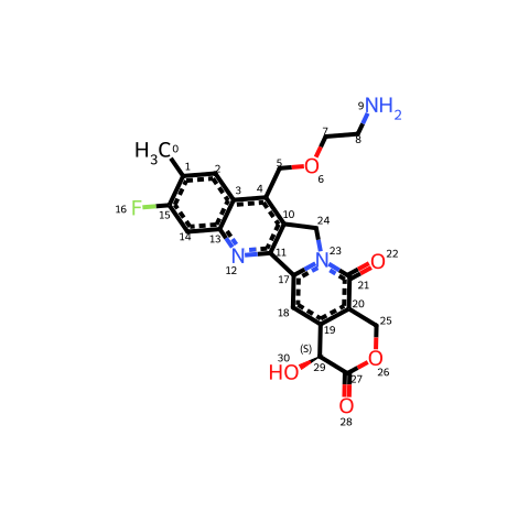 Cc1cc2c(COCCN)c3c(nc2cc1F)-c1cc2c(c(=O)n1C3)COC(=O)[C@H]2O